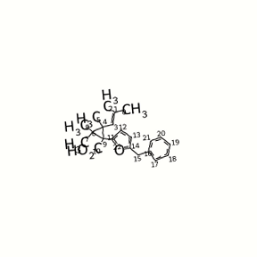 CC(C)=CC1(C)C(C)(C)C1(C(=O)O)c1ccc(Cc2ccccc2)o1